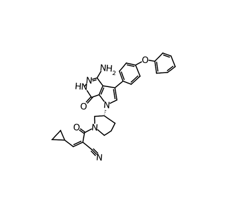 N#C/C(=C/C1CC1)C(=O)N1CCC[C@@H](n2cc(-c3ccc(Oc4ccccc4)cc3)c3c(N)n[nH]c(=O)c32)C1